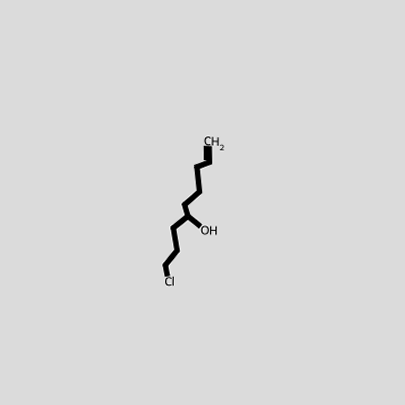 C=CCCCC(O)CCCCl